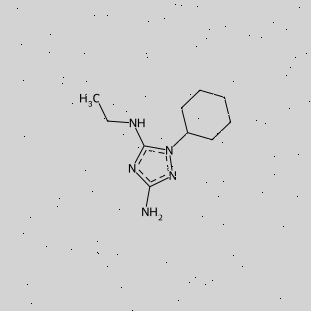 CCNc1nc(N)nn1C1CCCCC1